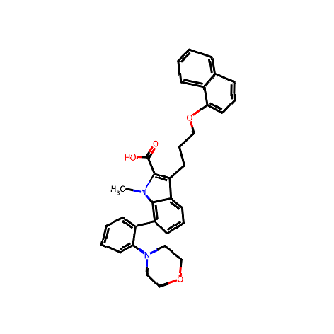 Cn1c(C(=O)O)c(CCCOc2cccc3ccccc23)c2cccc(-c3ccccc3N3CCOCC3)c21